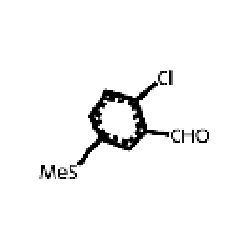 CSc1ccc(Cl)c(C=O)c1